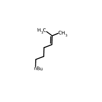 CCCCCCCC=C(C)C